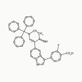 CC(=N)/C(=C\N(C)C(c1ccccc1)(c1ccccc1)c1ccccc1)c1ccc2ncc(-c3ccc(C(=O)O)c(F)c3)n2c1